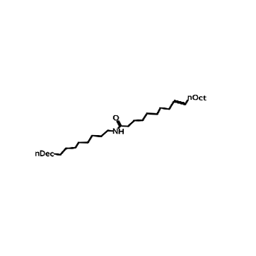 CCCCCCCCC=CCCCCCCCC(=O)NCCCCCCCCCCCCCCCCCC